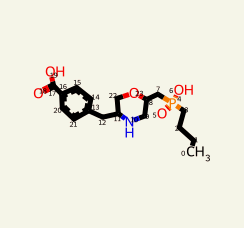 CCCCP(=O)(O)CC1CNC(Cc2ccc(C(=O)O)cc2)CO1